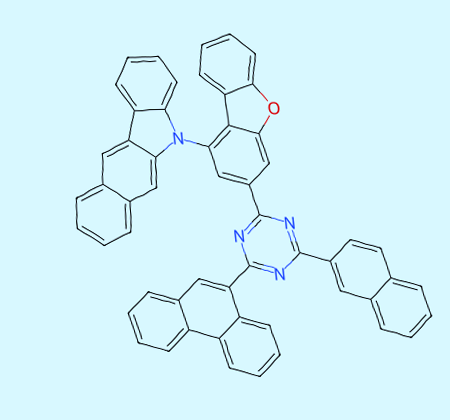 c1ccc2cc(-c3nc(-c4cc(-n5c6ccccc6c6cc7ccccc7cc65)c5c(c4)oc4ccccc45)nc(-c4cc5ccccc5c5ccccc45)n3)ccc2c1